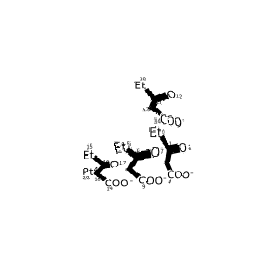 CCC(=O)CC(=O)[O-].CCC(=O)CC(=O)[O-].CCC(=O)CC(=O)[O-].CCC(=O)CC(=O)[O-].[Pt+4]